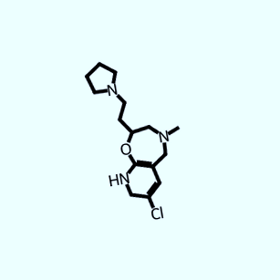 CN1CC2=C(NCC(Cl)=C2)OC(CCN2CCCC2)C1